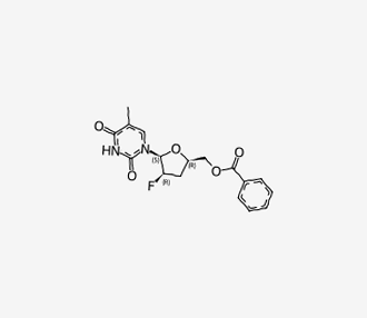 Cc1cn([C@H]2O[C@@H](COC(=O)c3ccccc3)C[C@H]2F)c(=O)[nH]c1=O